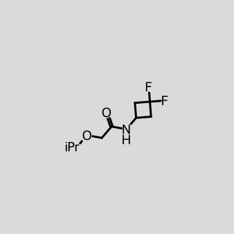 CC(C)OCC(=O)NC1CC(F)(F)C1